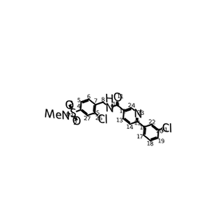 CNS(=O)(=O)c1ccc(CNC(=O)c2ccc(-c3cccc(Cl)c3)nc2)c(Cl)c1